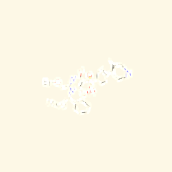 CCOCc1nc(=O)c(S(=O)(=O)c2ccc(-c3ccncc3C)cc2)c(O)n1[C@@H](COC)c1ccccc1